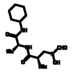 CCCC[C@H](CN(O)C=O)C(=O)N[C@H](C(=O)NC1CCCCC1)C(C)(C)C